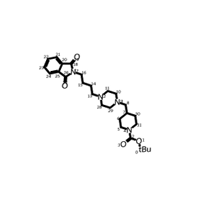 CC(C)(C)OC(=O)N1CCC(CN2CCN(CCCCN3C(=O)c4ccccc4C3=O)CC2)CC1